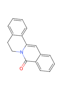 O=c1c2ccccc2cc2n1CCc1ccccc1-2